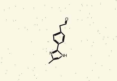 Cc1c[nH]c(-c2ccc(CC=O)cc2)n1